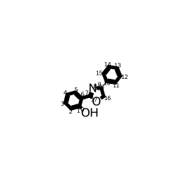 Oc1ccccc1C1=N[C@H](c2ccccc2)CO1